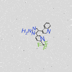 Nc1ncc(-c2ccnc3ccccc23)c(-c2ccc(C(F)(F)F)nc2)n1